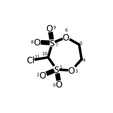 O=S1(=O)OCCOS(=O)(=O)C1Cl